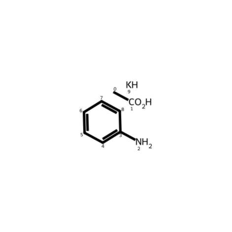 CC(=O)O.Nc1ccccc1.[KH]